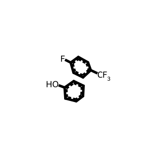 Fc1ccc(C(F)(F)F)cc1.Oc1ccccc1